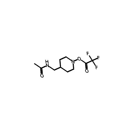 CC(=O)NCC1CCN(OC(=O)C(F)(F)F)CC1